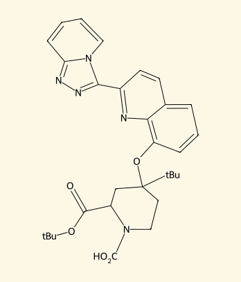 CC(C)(C)OC(=O)C1CC(Oc2cccc3ccc(-c4nnc5ccccn45)nc23)(C(C)(C)C)CCN1C(=O)O